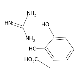 CC(=O)O.N=C(N)N.Oc1ccccc1O